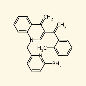 Bc1cccc(CN2C=C(C(=C)c3ccccc3C)C(=C)c3ccccc32)n1